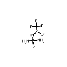 NP(N)(=S)N[S+]([O-])C(F)(F)F